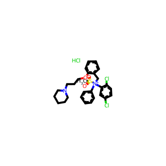 CS(=O)(=O)[N+](Cc1ccccc1OCCCN1CCCCC1)(c1ccccc1)c1cc(Cl)ccc1Cl.Cl